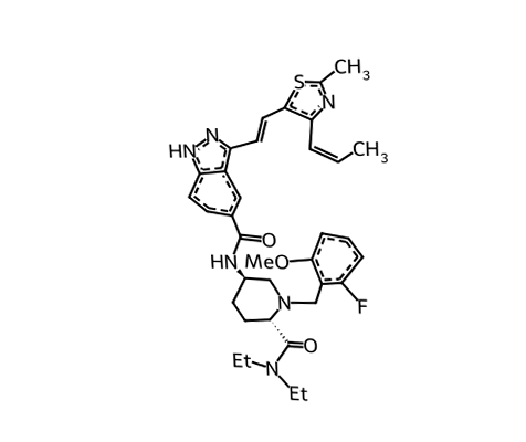 C/C=C\c1nc(C)sc1/C=C/c1n[nH]c2ccc(C(=O)N[C@@H]3CC[C@@H](C(=O)N(CC)CC)N(Cc4c(F)cccc4OC)C3)cc12